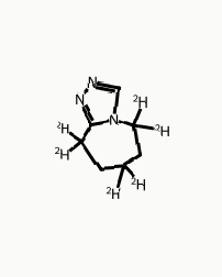 [2H]C1([2H])CC([2H])([2H])c2nncn2C([2H])([2H])C1